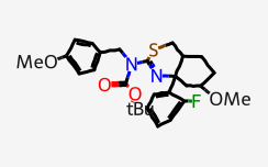 COc1ccc(CN(C(=O)OC(C)(C)C)C2=NC3(c4ccccc4F)CC(OC)CCC3CS2)cc1